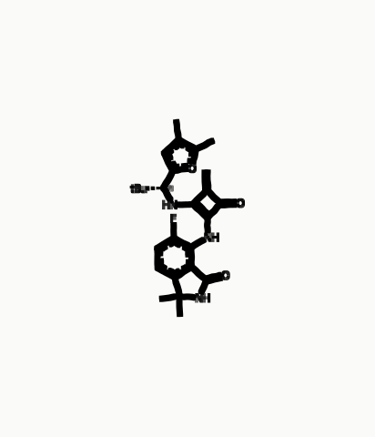 C=C1C(=O)C(Nc2c(F)ccc3c2C(=O)NC3(C)C)=C1N[C@@H](c1cc(C)c(C)o1)C(C)(C)C